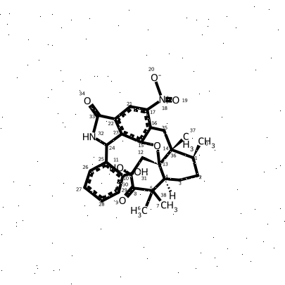 C[C@H]1CC[C@H]2C(C)(C)C(=O)C(O)C[C@]23Oc2c(c([N+](=O)[O-])cc4c2C(c2ccccc2O)NC4=O)C[C@]13C